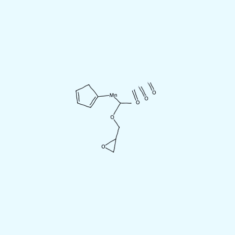 C[CH](OCC1CO1)[Mn][C]1=CC=CC1.[C]=O.[C]=O.[C]=O